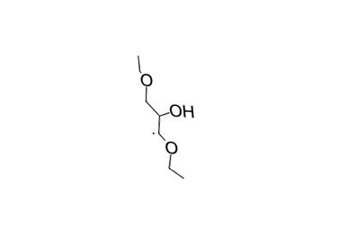 CCO[CH]C(O)COCC